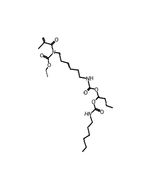 C=C(C)C(=O)N(CCCCCCNC(=O)OC(CCC)OC(=O)NCCCCCC)C(=O)OCC